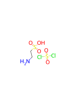 NCCS(=O)(=O)O.O=S(=O)(Cl)Cl